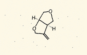 C=C1CO[C@H]2COC[C@@H]12